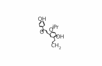 C=CCc1cc(C=CC(=O)c2ccc(O)cc2)c(OC(C)C)cc1O